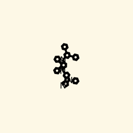 c1ccc(-c2cc(-c3ccccc3)cc(-n3c4ccccc4c4c5c6ccccc6n(-c6ccc7c(c6)c6cnccc6n7-c6ccccc6)c5ccc43)c2)cc1